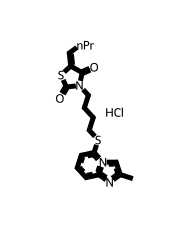 CCCC=C1SC(=O)N(CCCCSc2cccc3nc(C)cn23)C1=O.Cl